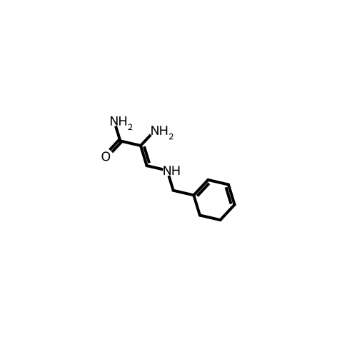 NC(=O)/C(N)=C/NCC1=CC=CCC1